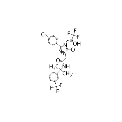 [CH2]C(C)(NC(=O)Cn1nc(-c2ccc(Cl)cc2)n(C[C@H](O)C(F)(F)F)c1=O)c1cccc(C(F)(F)F)c1